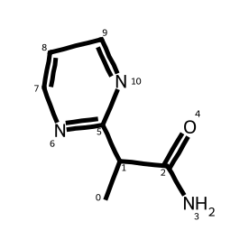 CC(C(N)=O)c1ncccn1